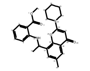 COC(=O)c1ccccc1NC(C)c1cc(C)cc2c(=O)cc(N3CCCCC3)oc12